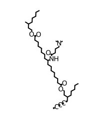 C=C=C=C=CC(CCCCC)CCOC(=O)CCCCCCCC(CCCCCCCC(=O)OCCC(C)CCCCC)NC(=O)CCCN(C)C